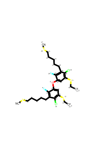 N#CSCCCCCc1c(F)c(Oc2cc(SCC(F)(F)F)c(Cl)c(CCCCCSC#N)c2F)cc(SCC(F)(F)F)c1Cl